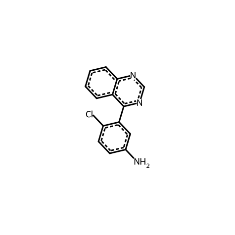 Nc1ccc(Cl)c(-c2ncnc3ccccc23)c1